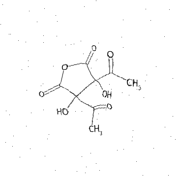 CC(=O)C1(O)C(=O)OC(=O)C1(O)C(C)=O